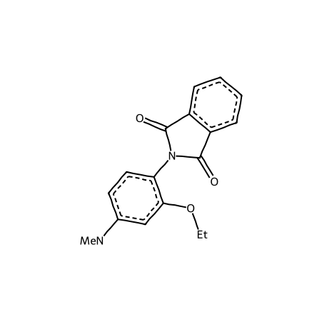 CCOc1cc(NC)ccc1N1C(=O)c2ccccc2C1=O